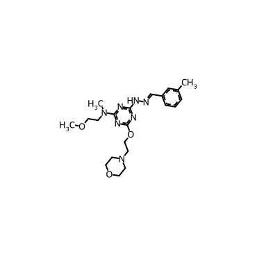 COCCN(C)c1nc(N/N=C/c2cccc(C)c2)nc(OCCN2CCOCC2)n1